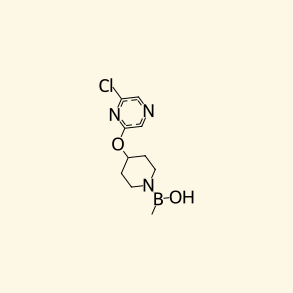 CB(O)N1CCC(Oc2cncc(Cl)n2)CC1